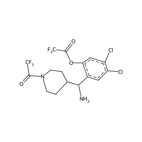 NC(c1cc(Cl)c(Cl)cc1OC(=O)C(F)(F)F)C1CCN(C(=O)C(F)(F)F)CC1